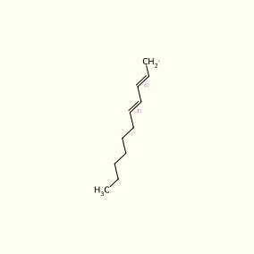 [CH2]/C=C/C=C/CCCCCC